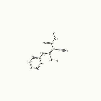 COC(=O)C(C#N)=C(Nc1cccnc1)SC